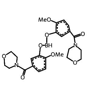 COc1ccc(C(=O)N2CCOCC2)cc1OBOc1cc(C(=O)N2CCOCC2)ccc1OC